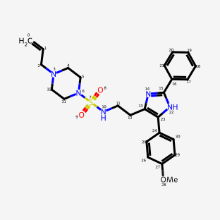 C=CCN1CCN(S(=O)(=O)NCCc2nc(-c3ccccc3)[nH]c2-c2ccc(OC)cc2)CC1